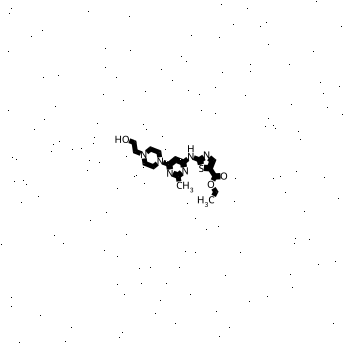 CCOC(=O)c1cnc(Nc2cc(N3CCN(CCO)CC3)nc(C)n2)s1